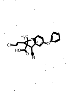 CC1(C)C(C=CCl)C1(C(=O)O)C(C#N)c1cccc(Oc2ccccc2)c1